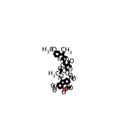 CCc1c2c(nc3ccc(OC)cc13)-c1cc3c(c(=O)n1C2)COC(=O)[C@@]3(CC)OC(=O)[C@H](C)ON=C1c2cc([N+](=O)[O-])cc([N+](=O)[O-])c2-c2c1cc([N+](=O)[O-])cc2[N+](=O)[O-]